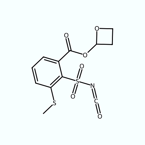 CSc1cccc(C(=O)OC2CCO2)c1S(=O)(=O)N=C=O